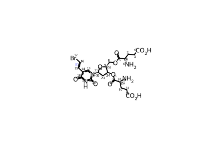 N[C@@H](CCC(=O)O)C(=O)OC[C@@H]1O[C@H](n2cc(/C=C/Br)c(=O)[nH]c2=O)CC1OC(=O)[C@@H](N)CCC(=O)O